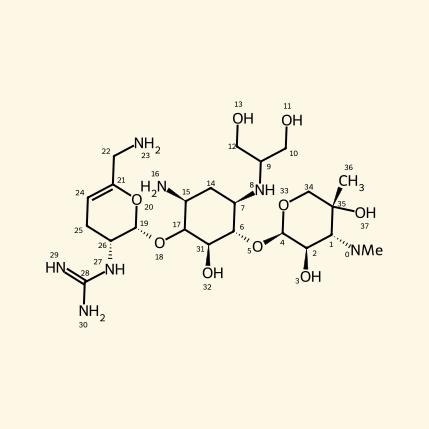 CN[C@@H]1[C@@H](O)[C@@H](O[C@H]2[C@H](NC(CO)CO)C[C@H](N)C(O[C@H]3OC(CN)=CC[C@H]3NC(=N)N)[C@@H]2O)OC[C@]1(C)O